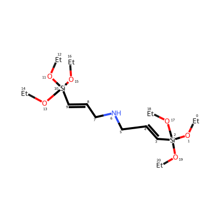 CCO[Si](C=CCNCC=C[Si](OCC)(OCC)OCC)(OCC)OCC